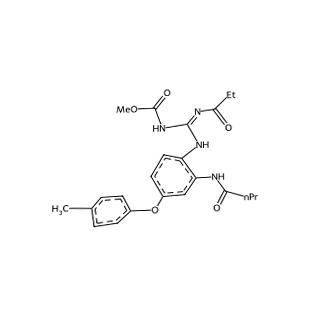 CCCC(=O)Nc1cc(Oc2ccc(C)cc2)ccc1NC(=NC(=O)CC)NC(=O)OC